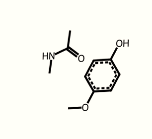 CNC(C)=O.COc1ccc(O)cc1